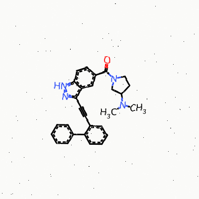 CN(C)C1CCN(C(=O)c2ccc3[nH]nc(C#Cc4ccccc4-c4ccccc4)c3c2)C1